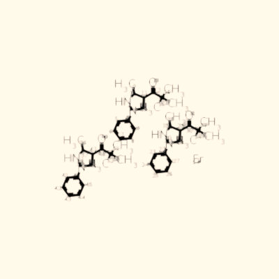 CC1NN(c2ccccc2)CC1C(=O)C(C)(C)C.CC1NN(c2ccccc2)CC1C(=O)C(C)(C)C.CC1NN(c2ccccc2)CC1C(=O)C(C)(C)C.[Er]